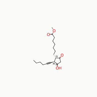 CCCCC#C[C@@H]1[C@H](O)CC(=O)[C@H]1CCCCCCC(=O)OC